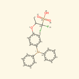 CC(Oc1ccc([S+](c2ccccc2)c2ccccc2)cc1)C(F)(F)S(=O)(=O)O